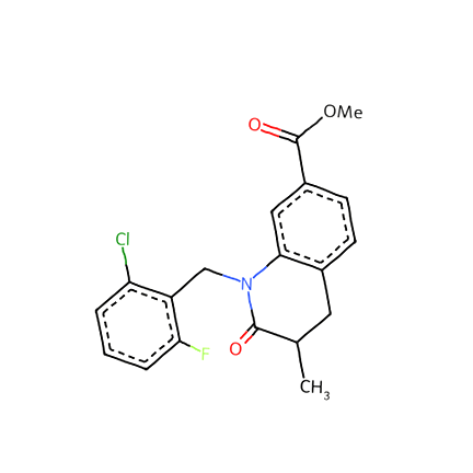 COC(=O)c1ccc2c(c1)N(Cc1c(F)cccc1Cl)C(=O)C(C)C2